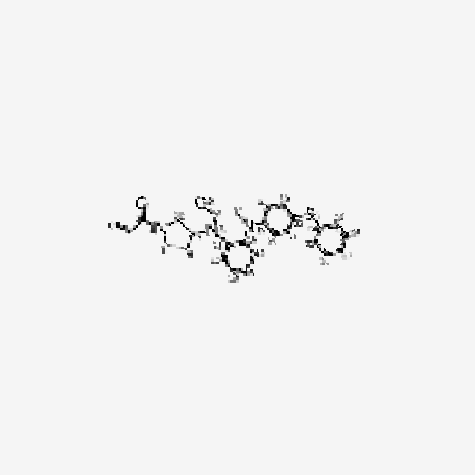 C=CC(=O)N1CCC(N(C=O)c2ccncc2N(C)c2ccc(Sc3ccccc3)cc2)C1